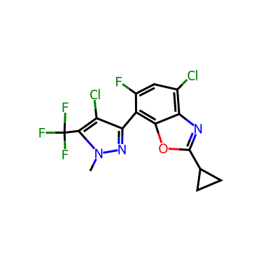 Cn1nc(-c2c(F)cc(Cl)c3nc(C4CC4)oc23)c(Cl)c1C(F)(F)F